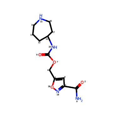 NC(=O)c1cc(COC(=O)NC2CCCNCC2)on1